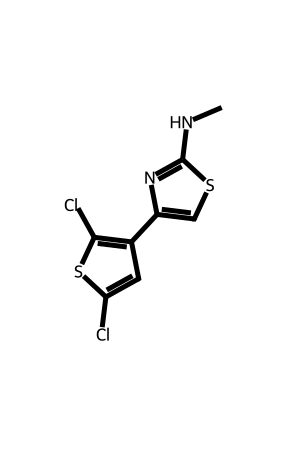 CNc1nc(-c2cc(Cl)sc2Cl)cs1